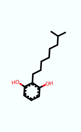 CC(C)CCCCCCc1c(O)cccc1O